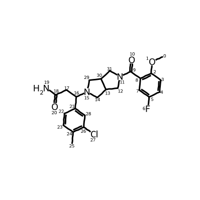 COc1ccc(F)cc1C(=O)N1CC2CN(C(CC(N)=O)c3ccc(C)c(Cl)c3)CC2C1